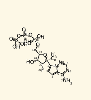 C[C@@]1(c2ccc3c(N)ncnn23)O[C@H](COP(=O)(O)OP(=O)(O)OP(=O)(O)O)[C@@H](O)[C@H]1F